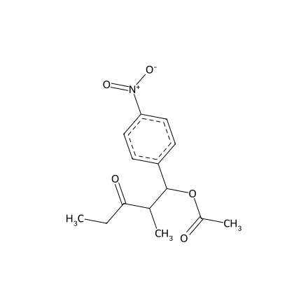 CCC(=O)C(C)C(OC(C)=O)c1ccc([N+](=O)[O-])cc1